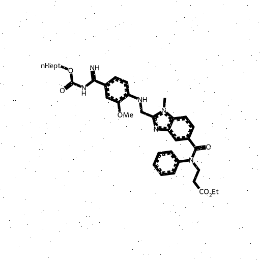 CCCCCCCOC(=O)NC(=N)c1ccc(NCc2nc3cc(C(=O)N(CCC(=O)OCC)c4ccccc4)ccc3n2C)c(OC)c1